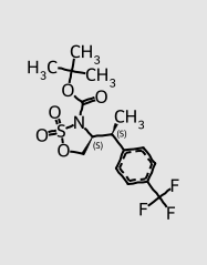 C[C@@H](c1ccc(C(F)(F)F)cc1)[C@H]1COS(=O)(=O)N1C(=O)OC(C)(C)C